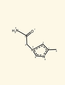 Cc1cn(CC(N)=O)cn1